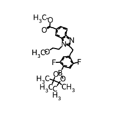 COCCn1c(Cc2cc(F)c(B3OC(C)(C)C(C)(C)O3)cc2F)nc2ccc(C(=O)OC)cc21